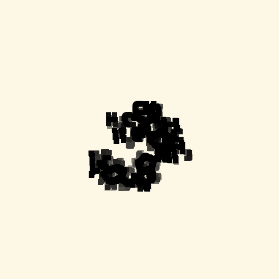 Cc1nc(N[C@@H]2CCc3c2cnn3Cc2ccc(C(F)(F)F)nc2)nc2c1NC(=O)C(C(C)C)N2C